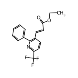 CCOC(=O)/C=C/c1ccc(C(F)(F)F)nc1-c1ccccc1